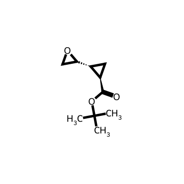 CC(C)(C)OC(=O)[C@@H]1C[C@H]1C1CO1